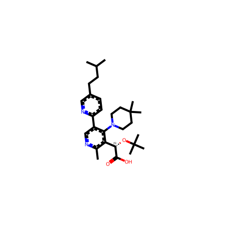 Cc1ncc(-c2ccc(CCC(C)C)cn2)c(N2CCC(C)(C)CC2)c1[C@H](OC(C)(C)C)C(=O)O